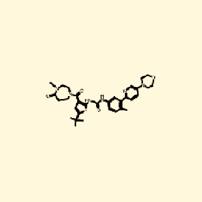 Cc1ccc(NC(=O)Nc2sc(C(C)(C)C)cc2C(=O)N2CCC(=O)N(C)CC2)cc1-c1ccc(N2CCOCC2)cn1